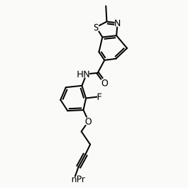 CCCC#CCCOc1cccc(NC(=O)c2ccc3nc(C)sc3c2)c1F